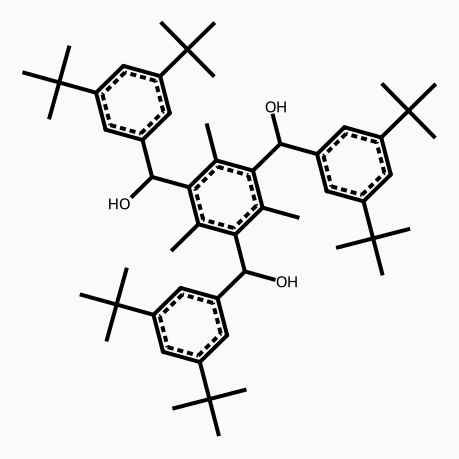 Cc1c(C(O)c2cc(C(C)(C)C)cc(C(C)(C)C)c2)c(C)c(C(O)c2cc(C(C)(C)C)cc(C(C)(C)C)c2)c(C)c1C(O)c1cc(C(C)(C)C)cc(C(C)(C)C)c1